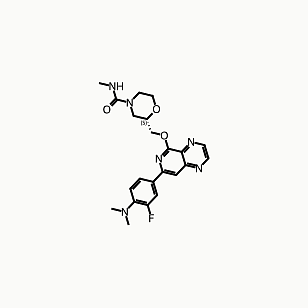 CNC(=O)N1CCO[C@H](COc2nc(-c3ccc(N(C)C)c(F)c3)cc3nccnc23)C1